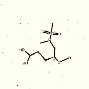 CCO[C@@H](CCC(O)O)CN(C)S(C)(=O)=O